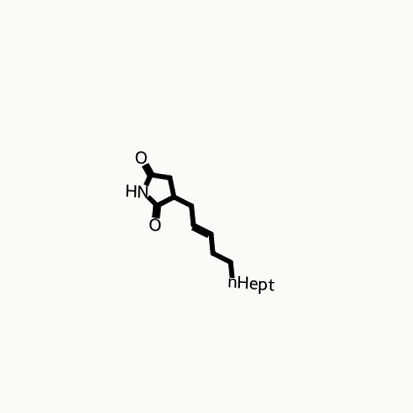 CCCCCCCCCC=CCC1CC(=O)NC1=O